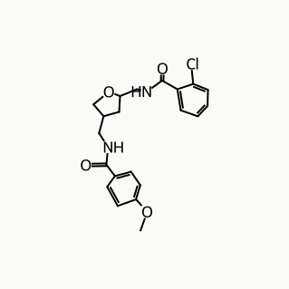 COc1ccc(C(=O)NCC2COC(CNC(=O)c3ccccc3Cl)C2)cc1